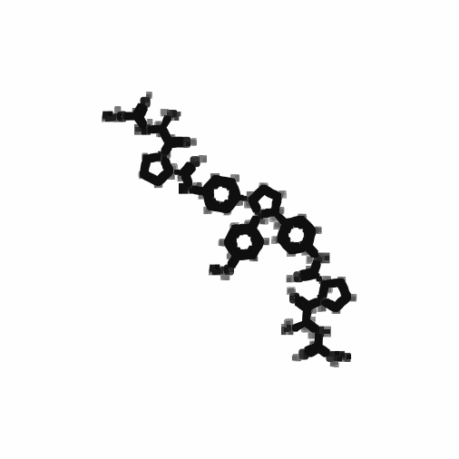 COC(=O)N[C@H](C(=O)N1CCC[C@H]1C(=O)Nc1ccc([C@@H]2CC[C@@H](c3ccc(NC(=O)[C@@H]4CCCN4C(=O)[C@@H](NC(=O)OC)C(C)C)cc3)N2c2ccc(OC)cc2)cc1)C(C)C